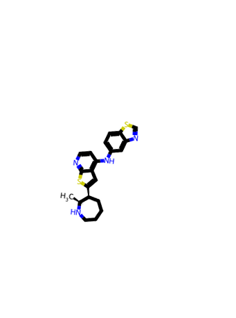 C[C@@H]1NCCCC[C@@H]1c1cc2c(Nc3ccc4scnc4c3)ccnc2s1